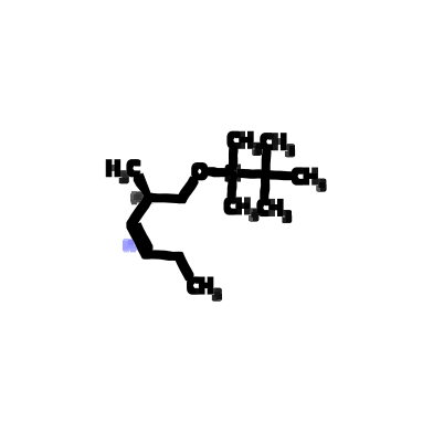 CC/C=C\[C@@H](C)CO[Si](C)(C)C(C)(C)C